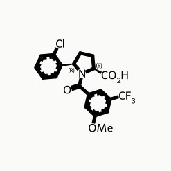 COc1cc(C(=O)N2[C@@H](c3ccccc3Cl)CC[C@H]2C(=O)O)cc(C(F)(F)F)c1